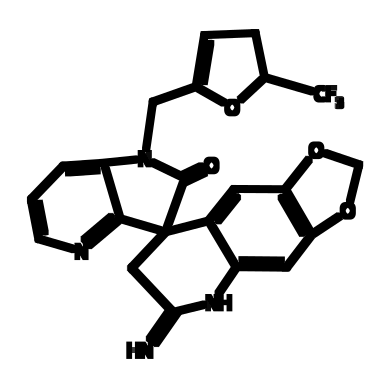 N=C1CC2(C(=O)N(CC3=CCC(C(F)(F)F)O3)c3cccnc32)c2cc3c(cc2N1)OCO3